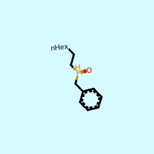 CCCCCCCC[PH](=O)Cc1ccccc1